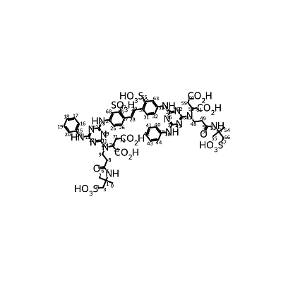 CC(C)(CS(=O)(=O)O)NC(=O)CCN(c1nc(Nc2ccccc2)nc(Nc2ccc(/C=C/c3ccc(Nc4nc(Nc5ccccc5)nc(N(CCC(=O)NC(C)(C)CS(=O)(=O)O)C(CC(=O)O)C(=O)O)n4)cc3S(=O)(=O)O)c(S(=O)(=O)O)c2)n1)C(CC(=O)O)C(=O)O